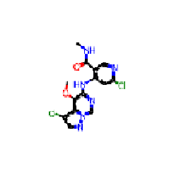 CNC(=O)c1cnc(Cl)cc1Nc1ncn2ncc(Cl)c2c1OC